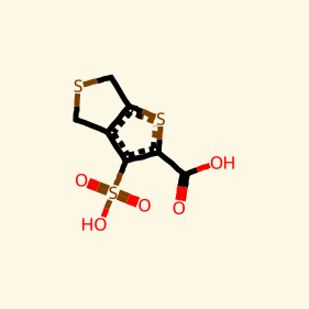 O=C(O)c1sc2c(c1S(=O)(=O)O)CSC2